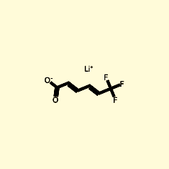 O=C([O-])/C=C/C=C/C(F)(F)F.[Li+]